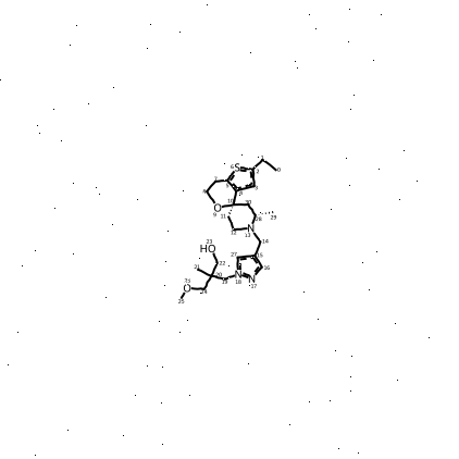 CCc1cc2c(s1)CCO[C@@]21CCN(Cc2cnn(CC(C)(CO)COC)c2)[C@@H](C)C1